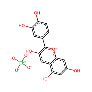 Oc1cc(O)c2cc(O)c(-c3ccc(O)c(O)c3)[o+]c2c1.[O-][Cl+3]([O-])([O-])[O-]